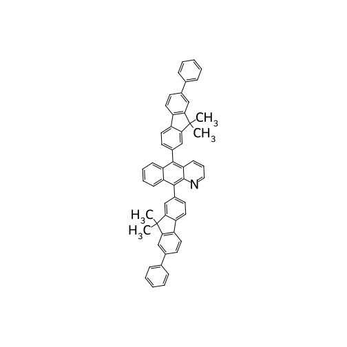 CC1(C)c2cc(-c3ccccc3)ccc2-c2ccc(-c3c4ccccc4c(-c4ccc5c(c4)C(C)(C)c4cc(-c6ccccc6)ccc4-5)c4ncccc34)cc21